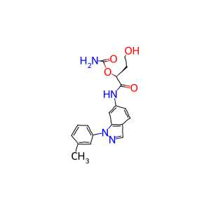 Cc1cccc(-n2ncc3ccc(NC(=O)[C@H](CCO)OC(N)=O)cc32)c1